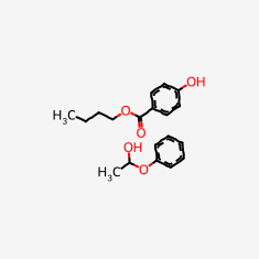 CC(O)Oc1ccccc1.CCCCOC(=O)c1ccc(O)cc1